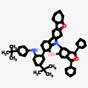 CC(C)(C)c1ccc(Nc2ccc(C(C)(C)C)cc2-c2ccc3c4cc5c(cc4n4c3c2Bc2cc3c(-c6ccccc6)oc(-c6ccccc6)c3cc2-4)oc2ccccc25)cc1